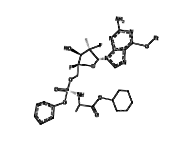 CCOc1nc(N)nc2c1ncn2[C@@H]1O[C@](F)(CO[P@@](=O)(NC(C)C(=O)OC2CCCCC2)Oc2ccccc2)[C@@H](O)[C@@]1(C)F